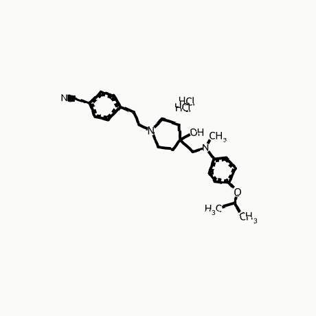 CC(C)Oc1ccc(N(C)CC2(O)CCN(CCc3ccc(C#N)cc3)CC2)cc1.Cl.Cl